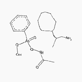 CC(=O)NO[As](=O)(OO)c1ccccc1.CC(N)C1CCCCC1